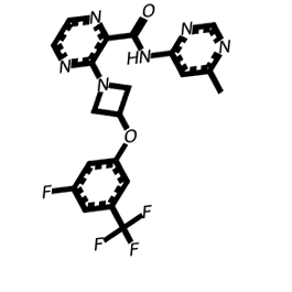 Cc1cc(NC(=O)c2nccnc2N2CC(Oc3cc(F)cc(C(F)(F)F)c3)C2)ncn1